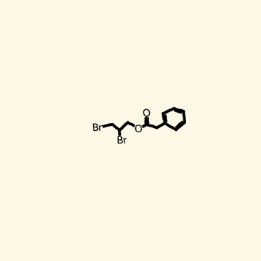 O=C(Cc1ccccc1)OCC(Br)CBr